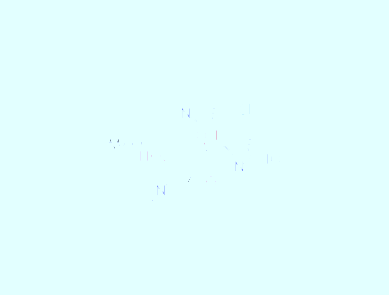 COCCCC[C@](O)(c1cccc(Cl)c1-c1cccnc1)[C@@]1([C@H]2C[C@@H](N)[C@@H](O)C2)CN(C=O)CCO1